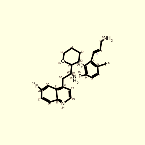 NC/C=C/c1c(F)ccc(F)c1[C@H]1CCCOC1[C@H](N)Cc1ccnc2ccc(F)cc12